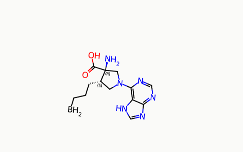 BCCC[C@H]1CN(c2ncnc3nc[nH]c23)C[C@@]1(N)C(=O)O